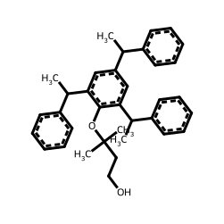 CC(c1ccccc1)c1cc(C(C)c2ccccc2)c(OC(C)(C)CCO)c(C(C)c2ccccc2)c1